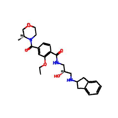 CCOc1cc(C(=O)N2CCOC[C@H]2C)ccc1C(=O)NC[C@@H](O)CNC1Cc2ccccc2C1